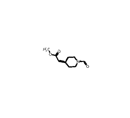 COC(=O)C=C1C[CH][N+]([C]=O)CC1